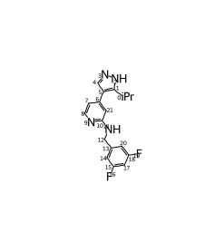 CC(C)c1[nH]ncc1-c1ccnc(NCc2cc(F)cc(F)c2)c1